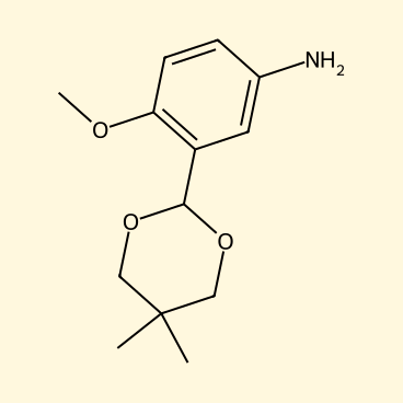 COc1ccc(N)cc1C1OCC(C)(C)CO1